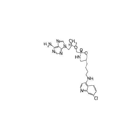 C[C@H](Cn1cnc2c(N)ncnc21)OCP1(=O)NCC(CCCCNc2ccnc3cc(Cl)ccc23)CO1